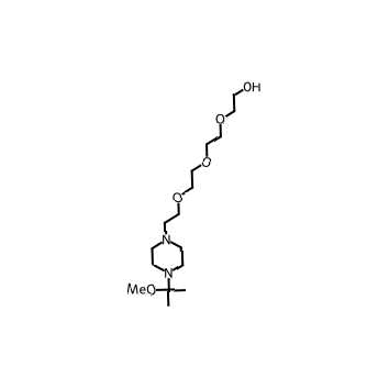 COC(C)(C)N1CCN(CCOCCOCCOCCO)CC1